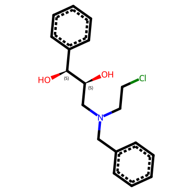 O[C@@H](CN(CCCl)Cc1ccccc1)[C@@H](O)c1ccccc1